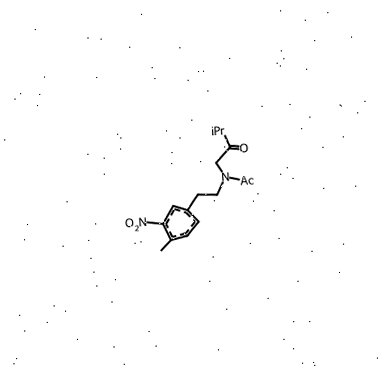 CC(=O)N(CCc1ccc(C)c([N+](=O)[O-])c1)CC(=O)C(C)C